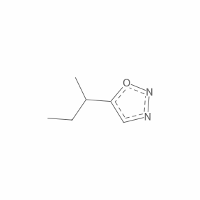 CCC(C)c1cnno1